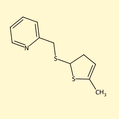 CC1=CCC(SCc2ccccn2)S1